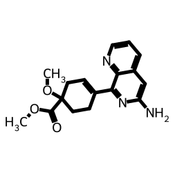 COC(=O)C1(OC)CC=C(c2nc(N)cc3cccnc23)CC1